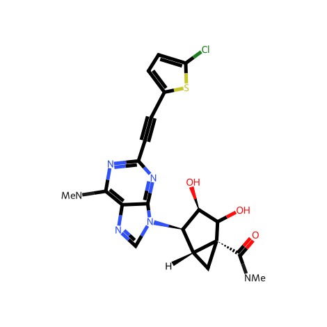 CNC(=O)[C@]12C[C@@H]1[C@@H](n1cnc3c(NC)nc(C#Cc4ccc(Cl)s4)nc31)[C@@H](O)C2O